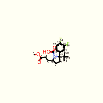 COC(=O)CC[C@@H]1CC[C@](c2ccc(F)c(F)c2)(C(C)(C)C)N1C(=O)O